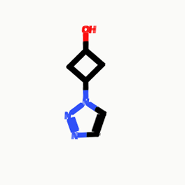 OC1CC(n2c[c]nn2)C1